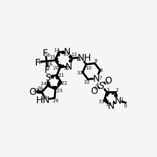 Cn1cc(S(=O)(=O)N2CCC(Nc3ncc(C(F)(F)F)c(-c4cc5c(s4)C(=O)NC5)n3)CC2)cn1